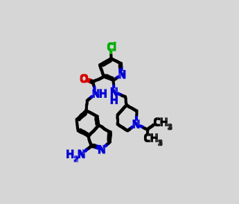 CC(C)N1CCCC(CNc2ncc(Cl)cc2C(=O)NCc2ccc3c(N)nccc3c2)C1